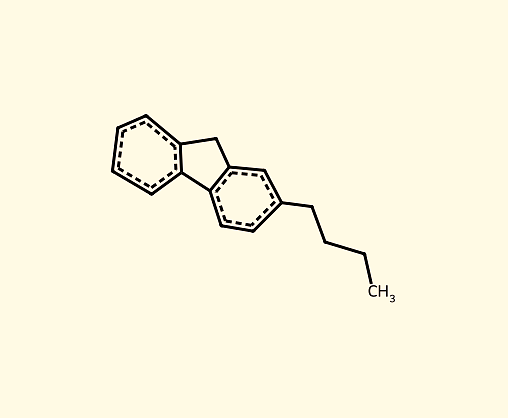 CCCCc1ccc2c(c1)Cc1ccccc1-2